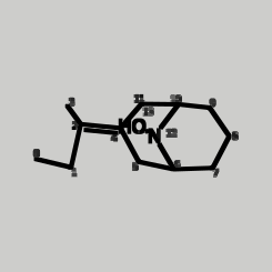 CCC(C)=C1CC2CCCC(C1)N2O